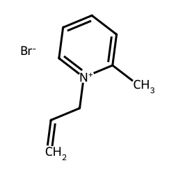 C=CC[n+]1ccccc1C.[Br-]